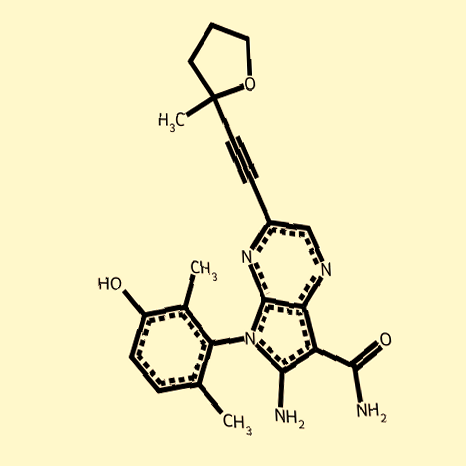 Cc1ccc(O)c(C)c1-n1c(N)c(C(N)=O)c2ncc(C#CC3(C)CCCO3)nc21